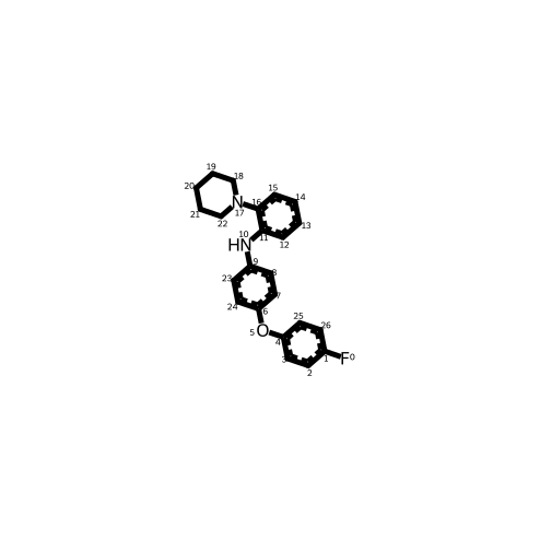 Fc1ccc(Oc2ccc(Nc3ccccc3N3CCCCC3)cc2)cc1